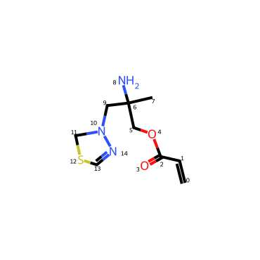 C=CC(=O)OCC(C)(N)CN1CSC=N1